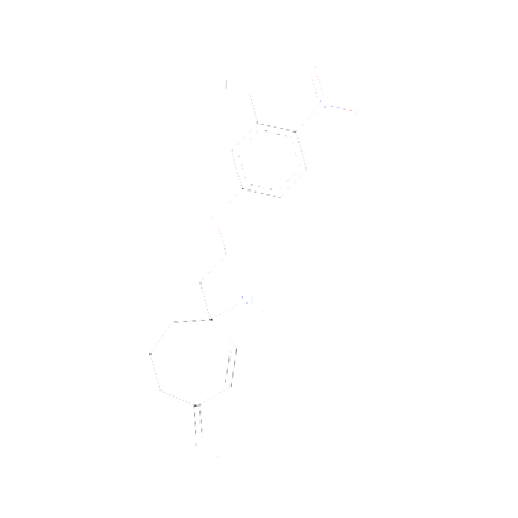 C=C1C=CC(N)(CCOc2ccc([N+](=O)[O-])c(C)c2)CCC1